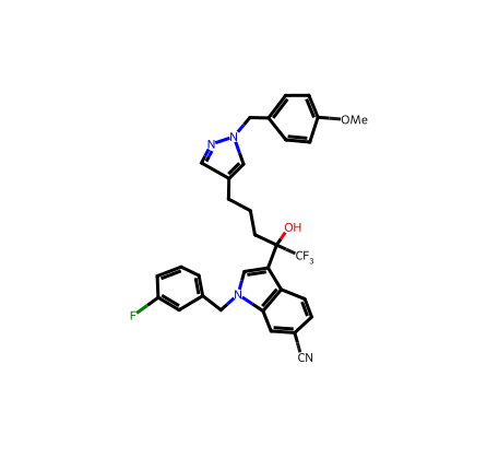 COc1ccc(Cn2cc(CCCC(O)(c3cn(Cc4cccc(F)c4)c4cc(C#N)ccc34)C(F)(F)F)cn2)cc1